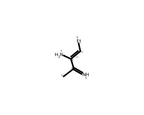 CC/C=C(\N)C(C)=N